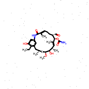 CCc1c(O)cc2cc1C[C@@H](C)C[C@H](OC)[C@H](O)[C@@H](C)/C=C(\C)[C@H](OC(N)=O)[C@@H](C=O)CC/C=C(\C)C(=O)N2